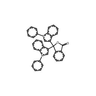 O=C1OC(c2cn(-c3ccccc3)c3ccccc23)(c2cn(-c3ccccc3)c3ccccc23)c2ccccc21